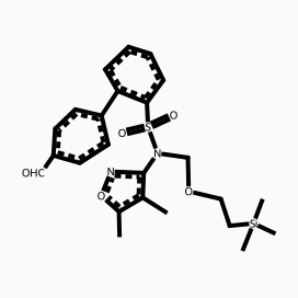 Cc1onc(N(COCC[Si](C)(C)C)S(=O)(=O)c2ccccc2-c2ccc(C=O)cc2)c1C